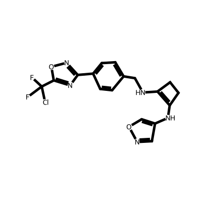 FC(F)(Cl)c1nc(-c2ccc(CNC3=C(Nc4cnoc4)CC3)cc2)no1